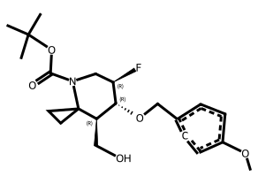 COc1ccc(CO[C@H]2[C@H](F)CN(C(=O)OC(C)(C)C)C3(CC3)[C@@H]2CO)cc1